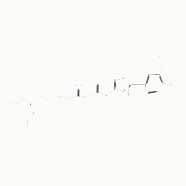 CCCC(CCC)CCCCC(=O)CC(=O)Cc1nc(-c2ccc(OC)c(OC)c2)oc1C